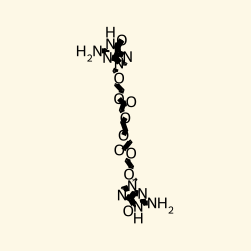 Nc1nc2c(ncn2COCCOC(=O)COCCOCC(=O)OCCOCn2cnc3c(=O)[nH]c(N)nc32)c(=O)[nH]1